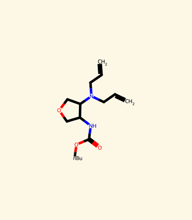 C=CCN(CC=C)C1COCC1NC(=O)OCCCC